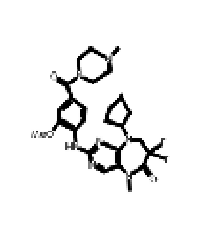 COc1cc(C(=O)N2CCN(C)CC2)ccc1Nc1ncc2c(n1)N(C1CCCC1)CC(F)(F)C(=O)N2C